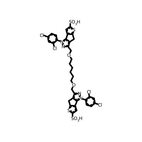 O=S(=O)(O)c1cc2c(s1)Cc1c(COCCCCCCOCc3nn(-c4ccc(Cl)cc4Cl)c4c3Cc3sc(S(=O)(=O)O)cc3-4)nn(-c3ccc(Cl)cc3Cl)c1-2